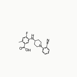 Cc1cc(F)c(NC2CCN(c3ccccc3C#N)CC2)cc1C(=O)O